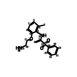 C=C(Nc1c(C)cccc1OCCNC)S(=O)(=O)c1ccccc1